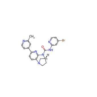 Cc1cc(-c2ccc3c(n2)N(C(=O)Nc2cc(Br)ccn2)[C@@H]2CCN3C2)ccn1